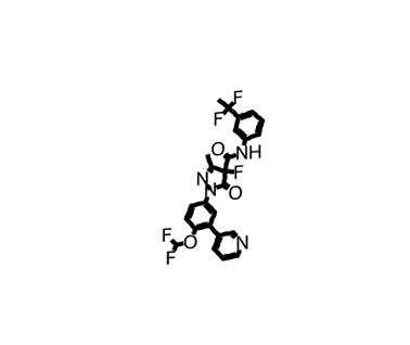 CC1=NN(c2ccc(OC(F)F)c(-c3cccnc3)c2)C(=O)C1(F)C(=O)Nc1cccc(C(C)(F)F)c1